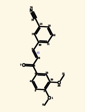 COc1ccc(C(=O)/C=C/c2cccc(C#N)c2)cc1OC